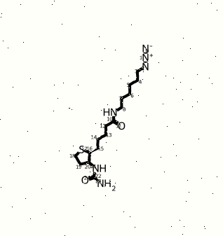 [N-]=[N+]=NCCCCCCNC(=O)CCCC[C@@H]1SCCC1NC(N)=O